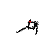 CCC1=C(C)c2cc3[nH]c(cc4nc(c(C)c5[nH]c(cc1n2)c(C)c5C(=O)N(C)CCOCCOCCOC)CC4C)c(C)c3C(C)OCCOCCOCCOC